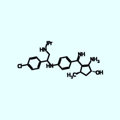 CC(C)NCC(Nc1ccc(C(=N)C2=C(N)[C@H](O)C[C@H]2C)cc1)c1ccc(Cl)cc1